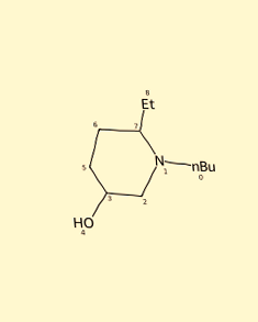 CCCCN1CC(O)CCC1CC